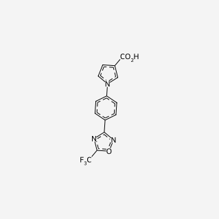 O=C(O)c1ccn(-c2ccc(-c3noc(C(F)(F)F)n3)cc2)c1